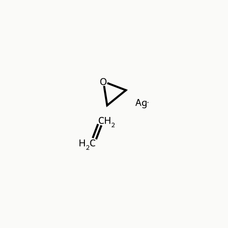 C1CO1.C=C.[Ag]